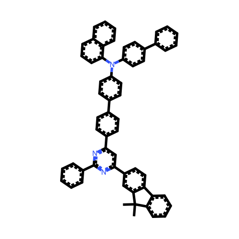 CC1(C)c2ccccc2-c2ccc(-c3cc(-c4ccc(-c5ccc(N(c6ccc(-c7ccccc7)cc6)c6cccc7ccccc67)cc5)cc4)nc(-c4ccccc4)n3)cc21